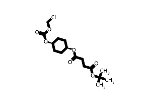 CC(C)(C)OC(=O)CCC(=O)O[C@H]1CC[C@@H](OC(=O)OCCl)CC1